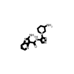 Nc1sc2cccnc2c1C(=O)Nc1cnsc1N1CCCC(N)C1